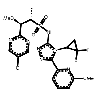 COc1cccc(-c2nnc(NS(=O)(=O)[C@@H](C)[C@H](OC)c3ncc(Cl)cn3)n2C2CC2(F)F)n1